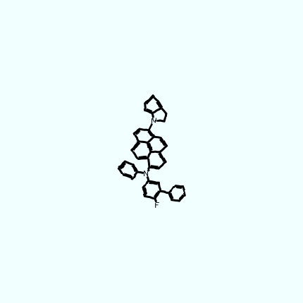 Fc1ccc(N(c2ccccc2)c2ccc3ccc4c(N5CCc6ccccc65)ccc5ccc2c3c54)cc1-c1ccccc1